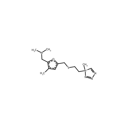 Cc1cc(CSCC[N+]2(C)C=NN=N2)oc1CN(C)C